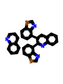 c1ccc2nc(-c3cccc4scnc34)c(-c3cccc4scnc34)cc2c1.c1ccc2ncccc2c1